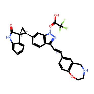 O=C(O)C(F)(F)F.O=C1Nc2ccccc2[C@]12C[C@H]2c1ccc2c(/C=C/c3ccc4c(c3)CNCCO4)n[nH]c2c1